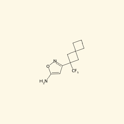 Nc1cc(C2(C(F)(F)F)CC3(CCC3)C2)no1